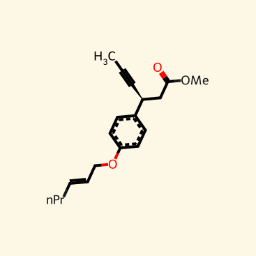 CC#C[C@@H](CC(=O)OC)c1ccc(OC/C=C/CCC)cc1